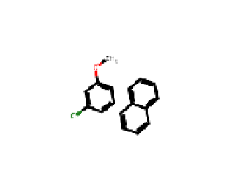 COc1cccc(Cl)c1.c1ccc2ccccc2c1